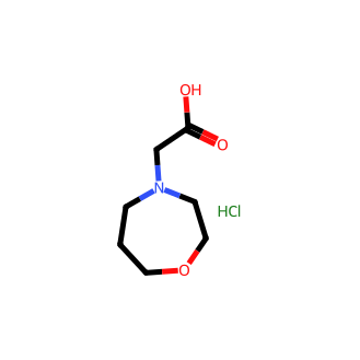 Cl.O=C(O)CN1CCCOCC1